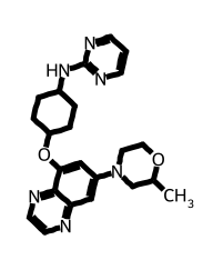 CC1CN(c2cc(OC3CCC(Nc4ncccn4)CC3)c3nccnc3c2)CCO1